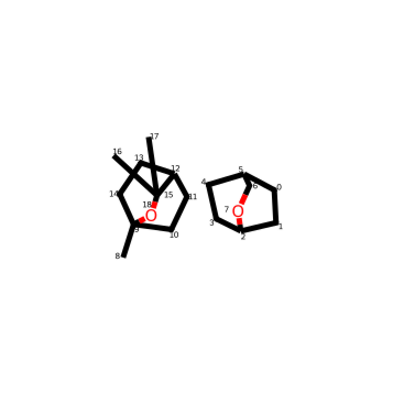 C1CC2CCC1CO2.CC12CCC(CC1)C(C)(C)O2